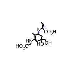 C/C=C(\N=C1/CC(O)(CO)CC(NCC(=O)O)=C1C)C(=O)O